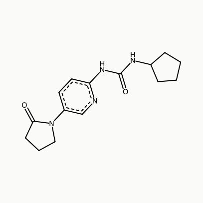 O=C(Nc1ccc(N2CCCC2=O)cn1)NC1CCCC1